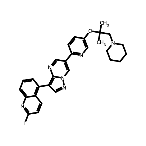 CC(C)(CN1CCCCC1)Oc1ccc(-c2cnc3c(-c4cccc5nc(I)ccc45)cnn3c2)nc1